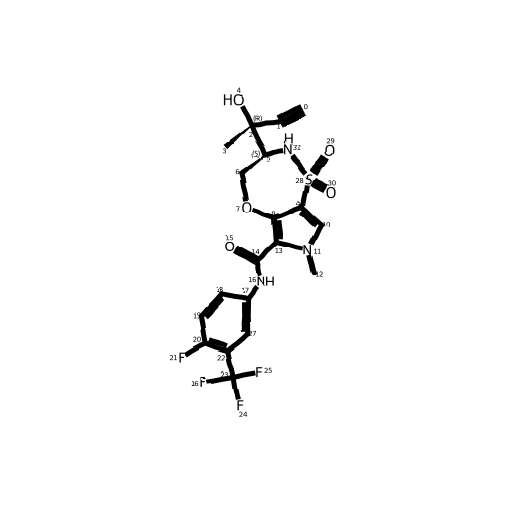 C#C[C@@](C)(O)[C@@H]1COc2c(cn(C)c2C(=O)Nc2ccc(F)c(C(F)(F)F)c2)S(=O)(=O)N1